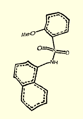 COc1ccccc1S(=O)(=O)Nc1cccc2ccccc12